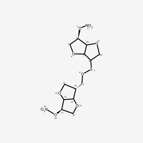 O=[N+]([O-])O[C@@H]1COC2C(SOC[C@H]3COC4C3OC[C@H]4O[N+](=O)[O-])COC21